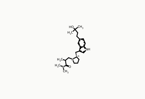 CC(CN1CCC[C@@H]1Cc1c[nH]c2ccc(CCC(C)(C)O)cc12)C(=O)N(C)C